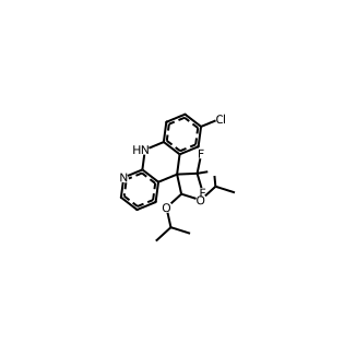 CC(C)OC(OC(C)C)C1(C(C)(F)F)c2cc(Cl)ccc2Nc2ncccc21